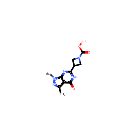 BOC(=O)N1CC(c2nc3c(c(C)nn3C(C)(C)C)c(=O)[nH]2)C1